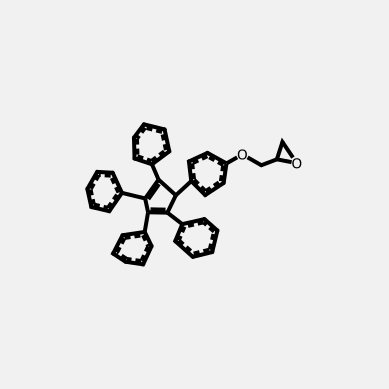 c1ccc(C2=C(c3ccccc3)C(c3ccc(OCC4CO4)cc3)C(c3ccccc3)=C2c2ccccc2)cc1